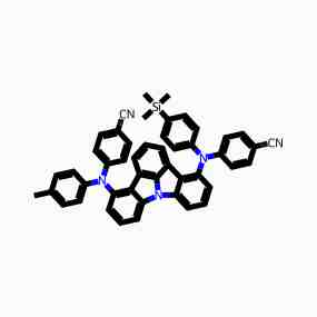 Cc1ccc(N(c2ccc(C#N)cc2)c2cccc3c2c2cccc4c5c(N(c6ccc(C#N)cc6)c6ccc([Si](C)(C)C)cc6)cccc5n3c24)cc1